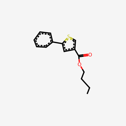 CCCCOC(=O)c1csc(-c2ccccc2)c1